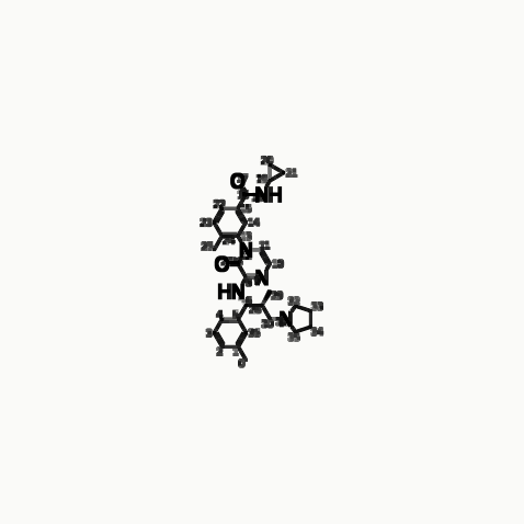 Cc1cccc([C@H](Nc2nccn(-c3cc(C(=O)NC4CC4)ccc3C)c2=O)[C@@H](C)CN2CCCC2)c1